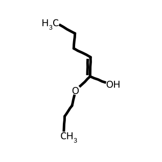 CCCC=C(O)OCCC